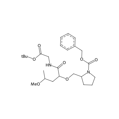 COC(C)CC(OCC1CCCN1C(=O)OCc1ccccc1)C(=O)NCC(=O)OC(C)(C)C